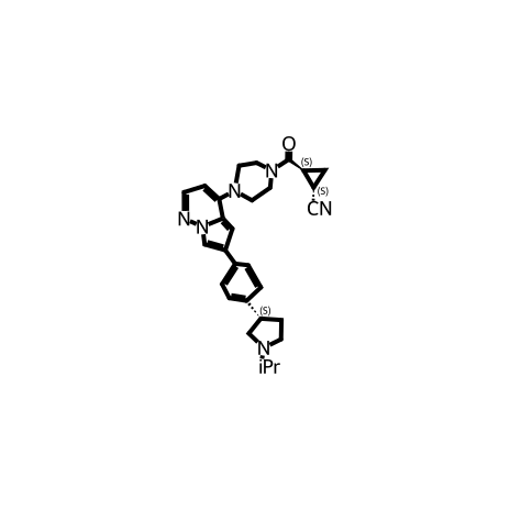 CC(C)N1CC[C@@H](c2ccc(-c3cc4c(N5CCN(C(=O)[C@H]6C[C@@H]6C#N)CC5)ccnn4c3)cc2)C1